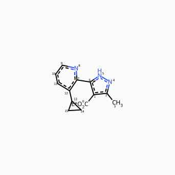 CCOC(=O)c1c(C)n[nH]c1-c1ncccc1C1CC1